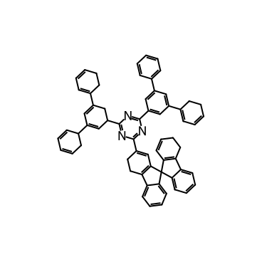 C1=CCCC(C2=CC(C3C=CC=CC3)=CC(c3nc(C4=CC5=C(CC4)c4ccccc4C54C5=C(CCC=C5)c5ccccc54)nc(-c4cc(C5=CC=CCC5)cc(-c5ccccc5)c4)n3)C2)=C1